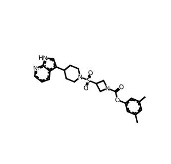 Cc1cc(C)cc(OC(=O)N2CC(S(=O)(=O)N3CCC(c4c[nH]c5ncccc45)CC3)C2)c1